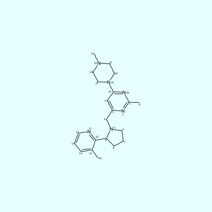 Cc1nc(CN2CCCC2c2ncccc2C)cc(N2CCN(C)CC2)n1